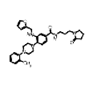 Cc1ccccc1N1CCN(c2ccc(C(=O)NCCCN3CCCC3=O)cc2NCc2ccco2)CC1